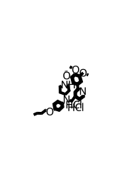 CCCCOc1ccc(N(Cc2ccnc(-c3cc(OC)c(OC)c(OC)c3)c2)C2CCNCC2)cc1.Cl.Cl